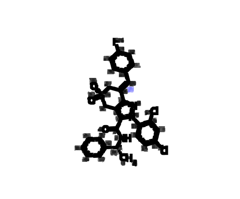 C[C@@H](NC(=O)c1c2c(nn1-c1ccc(Cl)cc1Cl)/C(=C/c1ccc(F)cc1)CS(=O)(=O)C2)c1ccccc1